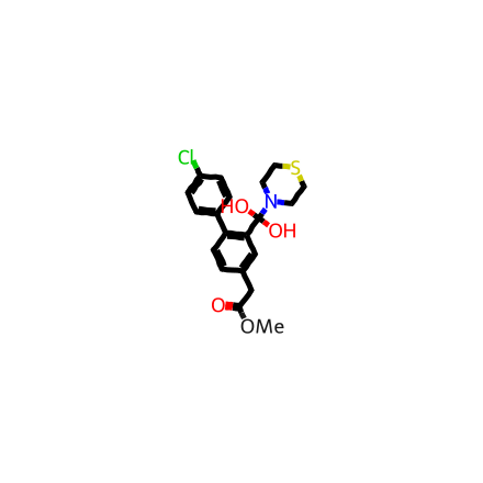 COC(=O)Cc1ccc(-c2ccc(Cl)cc2)c(C(O)(O)N2CCSCC2)c1